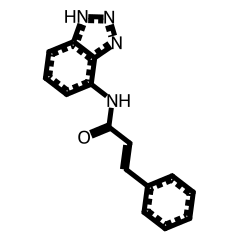 O=C(C=Cc1ccccc1)Nc1cccc2[nH]nnc12